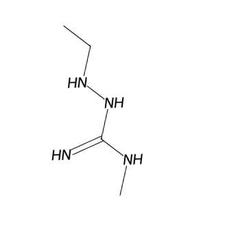 CCNNC(=N)NC